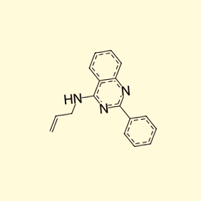 C=CCNc1nc(-c2ccccc2)nc2ccccc12